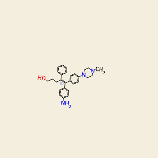 CN1CCN(c2ccc(/C(=C(/CCCO)c3ccccc3)c3ccc(N)cc3)cc2)CC1